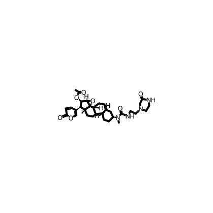 CC(=O)O[C@H]1[C@H]2O[C@]23[C@@H]2CC[C@@H]4C[C@@H](N(C)C(=O)NCCN5CCNC(=O)C5)CC[C@]4(C)[C@H]2CC[C@]3(C)[C@H]1c1ccc(=O)oc1